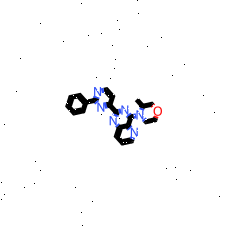 CC1COCCN1c1nc(-c2ccnc(-c3ccccc3)n2)nc2cccnc12